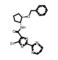 CCc1nc(-c2ncccn2)sc1C(=O)N[C@@H]1CCC[C@H]1OCc1ccccc1